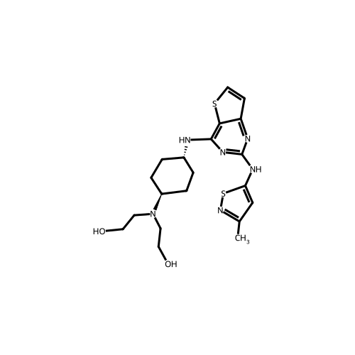 Cc1cc(Nc2nc(N[C@H]3CC[C@H](N(CCO)CCO)CC3)c3sccc3n2)sn1